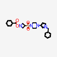 O=C(ON1CC(S(=O)(=O)N2CCN(c3ccn(Cc4ccccc4)c3)CC2)C1)c1ccccc1